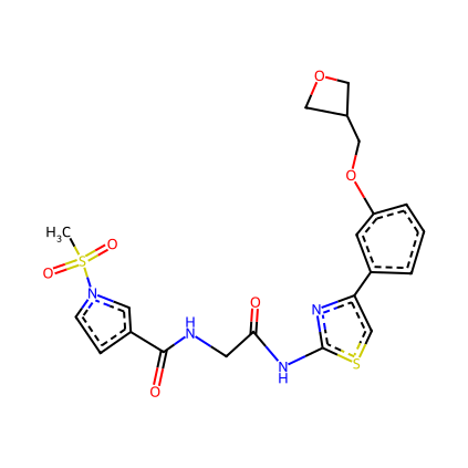 CS(=O)(=O)n1ccc(C(=O)NCC(=O)Nc2nc(-c3cccc(OCC4COC4)c3)cs2)c1